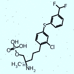 C[C@@](N)(CCCc1ccc(Sc2cccc(C(F)F)c2)cc1Cl)COP(=O)(O)O